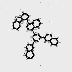 c1ccc2cc(-c3nc(-c4ccc5ccccc5c4)nc(-c4ccc(-c5cccc6oc7ncccc7c56)c5ccccc45)n3)ccc2c1